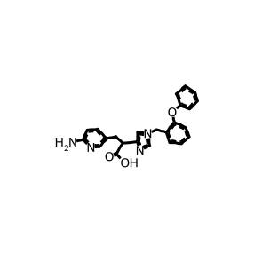 Nc1ccc(CC(C(=O)O)c2cn(Cc3ccccc3Oc3ccccc3)cn2)cn1